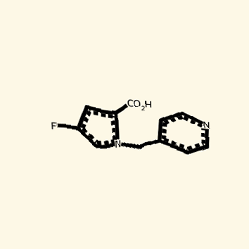 O=C(O)c1cc(F)cn1Cc1ccncc1